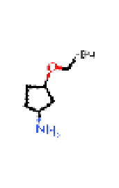 CCCCCOC1CCC(N)C1